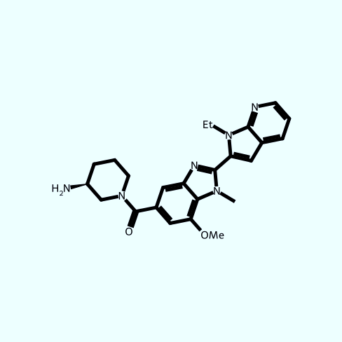 CCn1c(-c2nc3cc(C(=O)N4CCC[C@H](N)C4)cc(OC)c3n2C)cc2cccnc21